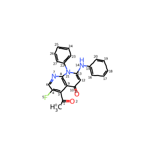 CC(=O)c1c(F)cnc2c1c(=O)cc(Nc1ccccc1)n2-c1ccccc1